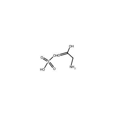 NCC(=O)O.O=S(=O)(O)O